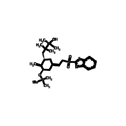 C=C1[C@H](CC(C)(C)[Si](C)(C)O)C/C(=C\CS(=O)(=O)c2nc3ccccc3s2)C[C@H]1O[Si](C)(C)C(C)(C)C